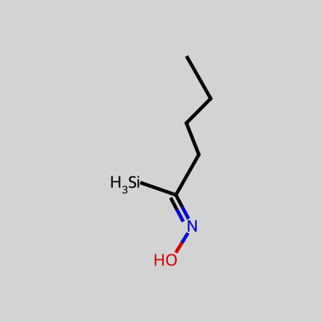 CCCCC([SiH3])=NO